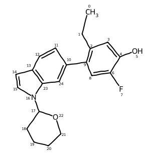 CCc1cc(O)c(F)cc1-c1ccc2ccn(C3CCCCO3)c2c1